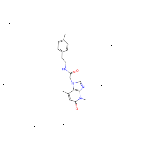 Cc1ccc(CCNC(=O)Cn2cnc3c2c(C)cc(=O)n3C)cc1